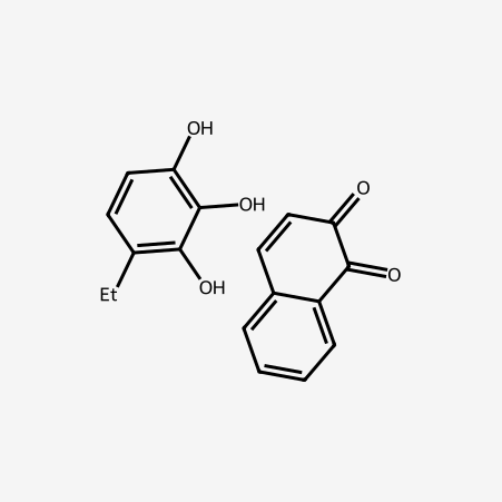 CCc1ccc(O)c(O)c1O.O=C1C=Cc2ccccc2C1=O